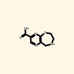 O=C(O)c1cnc2c(n1)OCCNC2